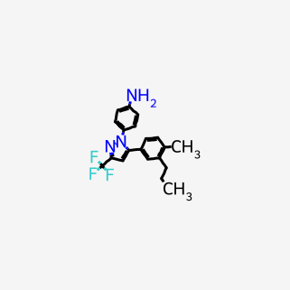 CCCc1cc(-c2cc(C(F)(F)F)nn2-c2ccc(N)cc2)ccc1C